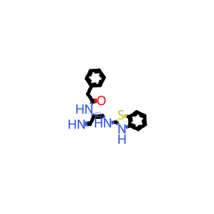 N=C/C(=C\NC1Nc2ccccc2S1)NC(=O)Cc1ccccc1